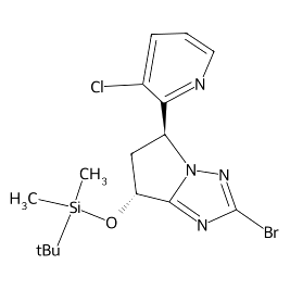 CC(C)(C)[Si](C)(C)O[C@@H]1C[C@@H](c2ncccc2Cl)n2nc(Br)nc21